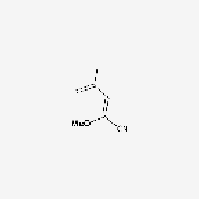 C=C(C)/C=C(/C#N)OC